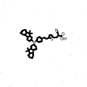 CC1(C)c2ccccc2-c2ccc(N(c3ccc(/C=C/c4ccc(/C=C(\C#N)C(=O)O)s4)cc3)c3ccc4c(c3)C(C)(C)c3ccccc3-4)cc21